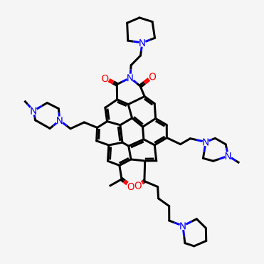 CC(=O)c1cc2cc(CCN3CCN(C)CC3)c3cc4c5c(cc6cc(CCN7CCN(C)CC7)c7cc(C(=O)CCCCN8CCCCC8)c1c1c2c3c5c6c71)C(=O)N(CCN1CCCCC1)C4=O